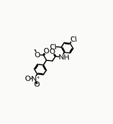 COC(=O)C(CC(=O)Nc1ccc(Cl)cc1Cl)c1ccc([N+](=O)[O-])cc1